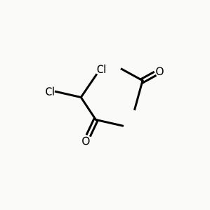 CC(=O)C(Cl)Cl.CC(C)=O